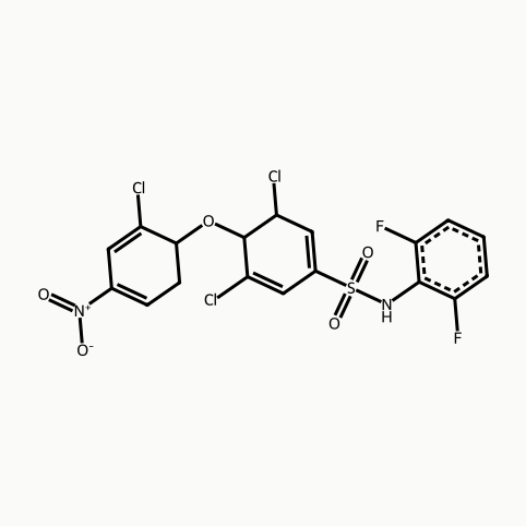 O=[N+]([O-])C1=CCC(OC2C(Cl)=CC(S(=O)(=O)Nc3c(F)cccc3F)=CC2Cl)C(Cl)=C1